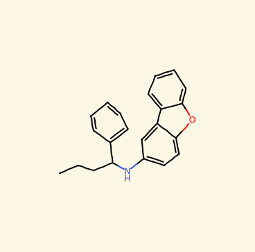 CCCC(Nc1ccc2oc3ccccc3c2c1)c1ccccc1